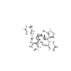 Cn1cncc1C(NC(=O)c1c(O)c(-c2ccccc2)nc2ccccc12)c1ccccc1